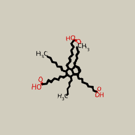 CCCCCCCCC1C(CCCCCCCC(=O)O)C(CCCCCC)C2C(CCCCCCCC(=O)O)C=CC(CCCCCC)C2C1CCCCCCCC(=O)O